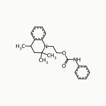 CC1CC(C)(C)N(CCOC(=O)Nc2ccccc2)c2ccccc21